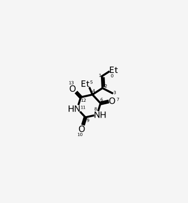 CC/C=C(\C)C1(CC)C(=O)NC(=O)NC1=O